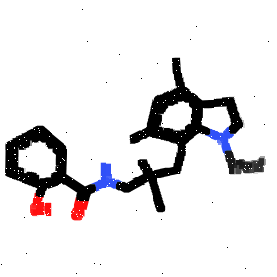 CCCCCN1CCc2c(C)cc(C)c(CC(C)(C)CNC(=O)c3ccccc3O)c21